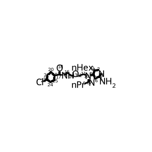 CCCCCCc1cnc(N)c2nc(CCC)n(CCOCCNC(=O)c3ccc(Cl)cc3)c12